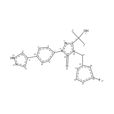 CC(C)(O)c1nn(-c2ccc(-c3cn[nH]c3)cc2)c(=O)n1Cc1cccc(F)c1